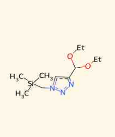 CCOC(OCC)c1cn(C[Si](C)(C)C)nn1